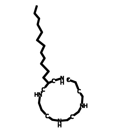 CCCCCCCCCCCCC1CNCCCCNCCCNCCCCNC1